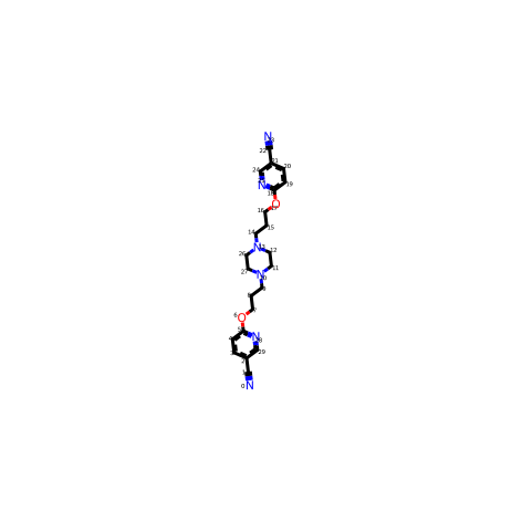 N#Cc1ccc(OCCCN2CCN(CCCOc3ccc(C#N)cn3)CC2)nc1